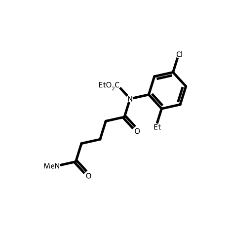 CCOC(=O)N(C(=O)CCCC(=O)NC)c1cc(Cl)ccc1CC